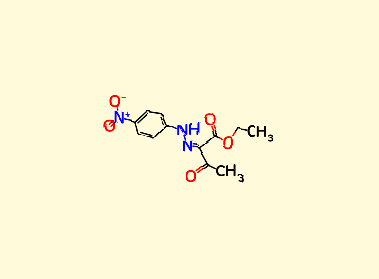 CCOC(=O)/C(=N\Nc1ccc([N+](=O)[O-])cc1)C(C)=O